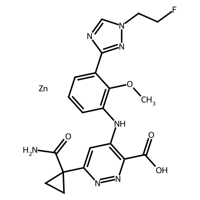 COc1c(Nc2cc(C3(C(N)=O)CC3)nnc2C(=O)O)cccc1-c1ncn(CCF)n1.[Zn]